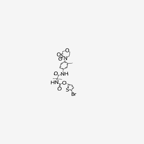 Cc1cc(NC(=O)C(C)(C)NC(=O)Oc2ccc(Br)s2)ccc1N1CCOCS1(=O)=O